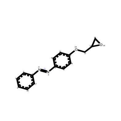 c1ccc(/N=N/c2ccc(OCC3CO3)cc2)cc1